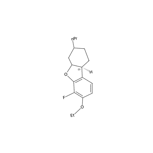 CCCC1CC[C@H]2c3ccc(OCC)c(F)c3OC2C1